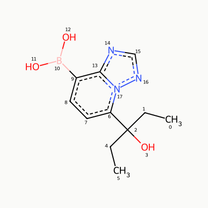 CCC(O)(CC)c1ccc(B(O)O)c2ncnn12